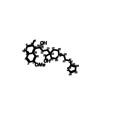 COc1ccc2ncc(C)c([C@H](O)CCC3(CO)CCN(CCSc4cccs4)CC3)c2c1